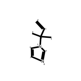 C=CC(C)(C)n1ccnc1